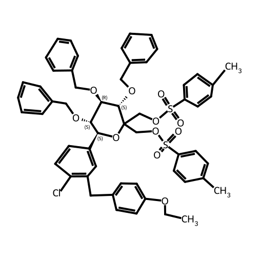 CCOc1ccc(Cc2cc([C@@H]3OC(COS(=O)(=O)c4ccc(C)cc4)(COS(=O)(=O)c4ccc(C)cc4)[C@@H](OCc4ccccc4)[C@H](OCc4ccccc4)[C@H]3OCc3ccccc3)ccc2Cl)cc1